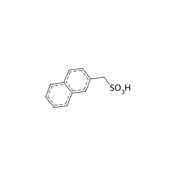 O=S(=O)(O)Cc1ccc2ccccc2c1